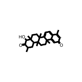 CC1=[C]C(=O)C=C2C1=CC=C1C2(C)CCC2(C)C3CC(C)C(=O)C(O)C3(C)CCC12C